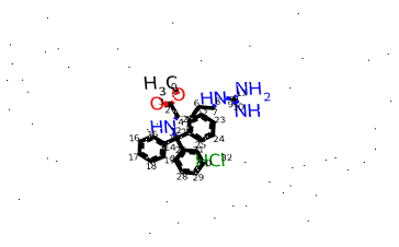 COC(=O)[C@H](CCCNC(=N)N)NC(c1ccccc1)(c1ccccc1)c1ccccc1.Cl